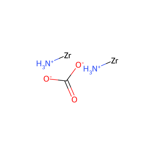 O=C([O-])[O-].[NH3+][Zr].[NH3+][Zr]